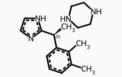 C1CNCCN1.Cc1cccc([C@H](C)c2ncc[nH]2)c1C